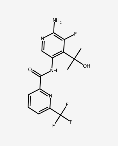 CC(C)(O)c1c(NC(=O)c2cccc(C(F)(F)F)n2)cnc(N)c1F